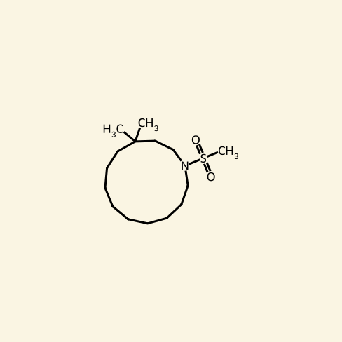 CC1(C)CCCCCCCCCN(S(C)(=O)=O)CC1